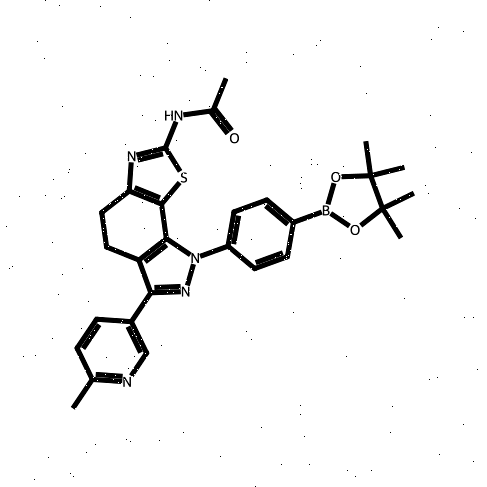 CC(=O)Nc1nc2c(s1)-c1c(c(-c3ccc(C)nc3)nn1-c1ccc(B3OC(C)(C)C(C)(C)O3)cc1)CC2